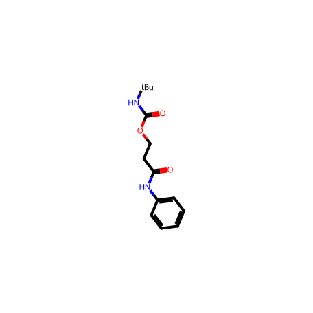 CC(C)(C)NC(=O)OCCC(=O)Nc1ccccc1